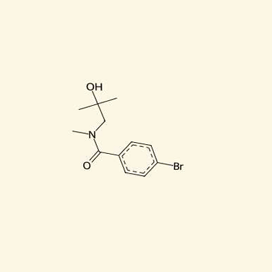 CN(CC(C)(C)O)C(=O)c1ccc(Br)cc1